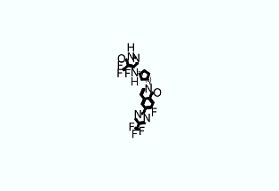 O=c1[nH]ncc(N[C@@H]2CC[C@H](Cn3ccc4cc(-c5ncc(C(F)(F)F)cn5)c(F)cc4c3=O)C2)c1C(F)(F)F